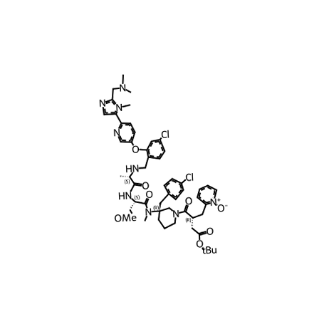 COC[C@H](NC(=O)[C@H](C)NCc1ccc(Cl)cc1Oc1ccc(-c2cnc(CN(C)C)n2C)nc1)C(=O)N(C)[C@@]1(Cc2ccc(Cl)cc2)CCCN(C(=O)[C@@H](CC(=O)OC(C)(C)C)Cc2cccc[n+]2[O-])C1